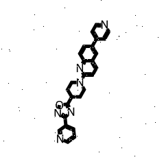 c1cncc(-c2noc(C3CCN(c4ccc5cc(-c6ccncc6)ccc5n4)CC3)n2)c1